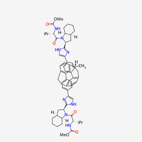 COC(=O)N[C@H](C(=O)N1[C@H](c2nc(-c3ccc(-c4cc5ccc4CCc4ccc(c(-c6ccc(-c7c[nH]c([C@@H]8C[C@@H]9CCCC[C@@H]9N8C(=O)[C@@H](NC(=O)OC)C(C)C)n7)cc6)c4)C[C@H]5C)cc3)c[nH]2)C[C@@H]2CCCC[C@@H]21)C(C)C